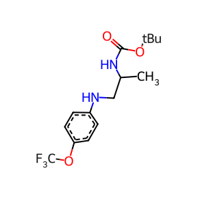 CC(CNc1ccc(OC(F)(F)F)cc1)NC(=O)OC(C)(C)C